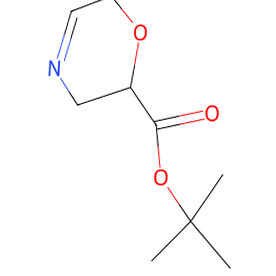 CC(C)(C)OC(=O)C1CN=CCO1